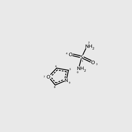 NS(N)(=O)=O.c1cocn1